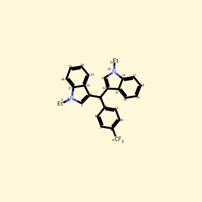 CCn1cc(C(c2ccc(C(F)(F)F)cc2)c2cn(CC)c3ccccc23)c2ccccc21